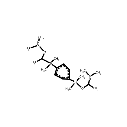 CC(O[Si](C)(C)c1ccc([Si](C)(C)C(C)O[SiH](C)C)cc1)[SiH](C)C